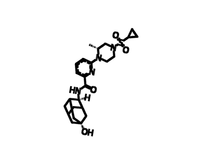 C[C@@H]1CN(S(=O)(=O)C2CC2)CCN1c1cccc(C(=O)N[C@H]2C3CC4CC2C[C@](O)(C4)C3)n1